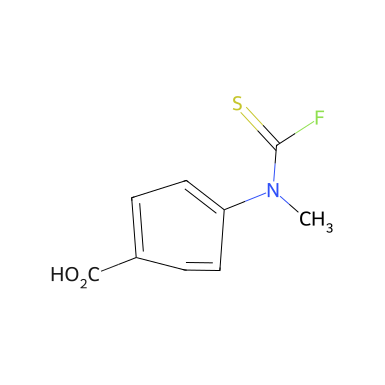 CN(C(F)=S)c1ccc(C(=O)O)cc1